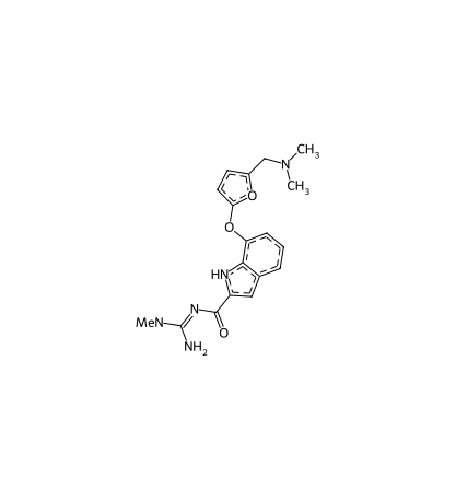 CNC(N)=NC(=O)c1cc2cccc(Oc3ccc(CN(C)C)o3)c2[nH]1